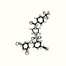 N#Cc1ccc(Oc2cc(Cl)cc(Cl)c2)c(S(=O)(=O)N2CCN(C(=O)c3ccc(C(F)(F)F)cc3)CC2)c1